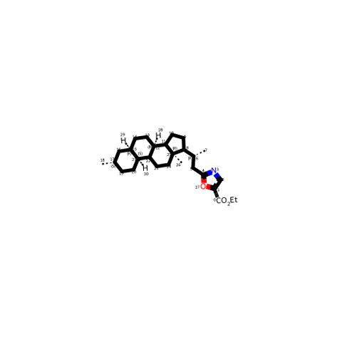 CCOC(=O)c1cnc(C[C@@H](C)C2CCC3[C@@H]4CC[C@@H]5C[C@@H](C)CC[C@@H]5C4CC[C@@]32C)o1